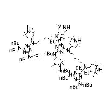 CCCCN(CCCC)c1nc(N(CCCC)CCCC)nc(N(CCCCCCN(C2CC(C)(C)NC(C)(C)C2)C(CC)(CC)c2nc(N(CCCC)C3CC(C)(C)NC(C)(C)C3)nc(N(CCCCCCN(C3CC(C)(C)NC(C)(C)C3)C(CC)(CC)c3nc(N(CCCC)CCCC)nc(N(CCCC)CCCC)n3)C3CC(C)(C)NC(C)(C)C3)n2)C2CC(C)(C)NC(C)(C)C2)n1